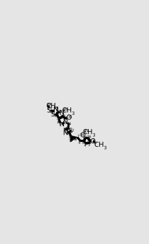 COc1ccc(CC[C@H]2CC2c2ncc(Cn3ncc4c5sc(SC)nc5n(C)c4c3=O)s2)c(OC)c1